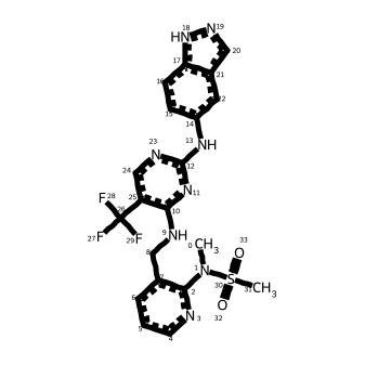 CN(c1ncccc1CNc1nc(Nc2ccc3[nH]ncc3c2)ncc1C(F)(F)F)S(C)(=O)=O